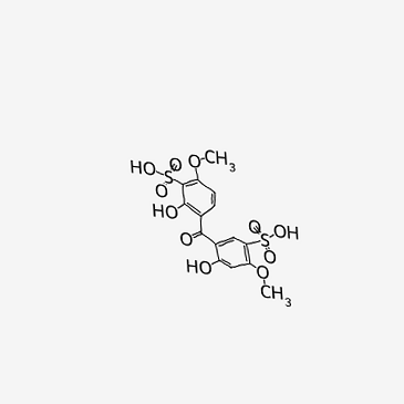 COc1cc(O)c(C(=O)c2ccc(OC)c(S(=O)(=O)O)c2O)cc1S(=O)(=O)O